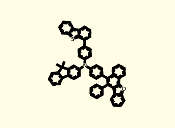 CC1(C)c2ccccc2-c2ccc(N(c3ccc(-c4c(-c5ccccc5)c5c6ccccc6oc5c5ccccc45)cc3)c3ccc(-c4cccc5c4sc4ccccc45)cc3)cc21